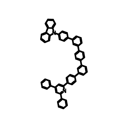 c1ccc(-c2cc(-c3ccccc3)nc(-c3ccc(-c4cccc(-c5ccc(-c6cccc(-c7ccc(-n8c9ccccc9c9ccccc98)cc7)c6)cc5)c4)cc3)c2)cc1